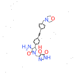 NC1C(=O)N(Cc2nc[nH]c(=O)c2O)CC1c1ccc(C#Cc2ccc(CN3CCOCC3)cc2)cc1